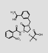 N=C(N)c1cccc(CN2CC[C@H](NC(=O)c3ccccc3[N+](=O)[O-])C2=O)c1.O=C(O)C(F)(F)F